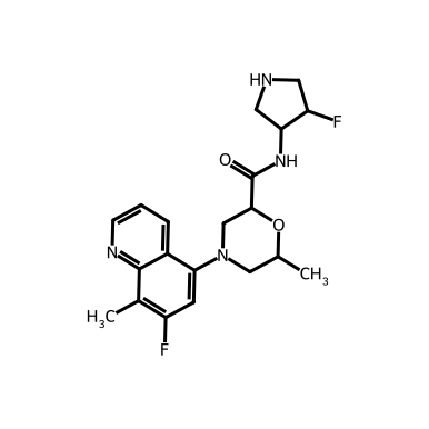 Cc1c(F)cc(N2CC(C)OC(C(=O)NC3CNCC3F)C2)c2cccnc12